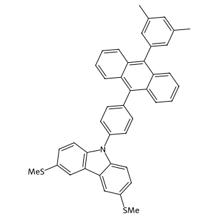 CSc1ccc2c(c1)c1cc(SC)ccc1n2-c1ccc(-c2c3ccccc3c(-c3cc(C)cc(C)c3)c3ccccc23)cc1